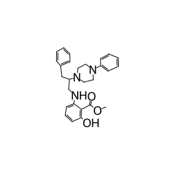 COC(=O)c1c(O)cccc1NCC(Cc1ccccc1)N1CCN(c2ccccc2)CC1